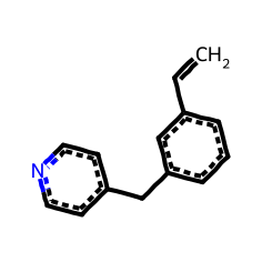 C=Cc1cccc(Cc2ccncc2)c1